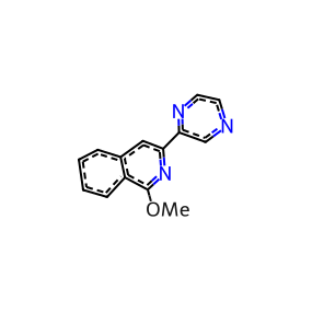 COc1nc(-c2cnccn2)cc2ccccc12